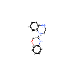 [C]1Oc2ccccc2NC1N1CCNc2ccccc21